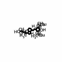 C[C@@H](CCCC(C)(C)O)C1CCC2/C(=C/C=C3C[C@@H](O[Si](C)(C)C(C)(C)C)C(O)[C@H](O[Si](C)(C)C(C)(C)C)C3)CCCC21C